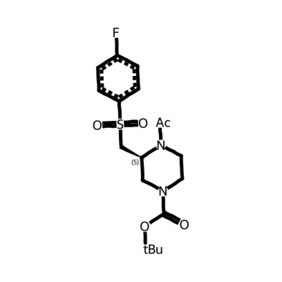 CC(=O)N1CCN(C(=O)OC(C)(C)C)C[C@H]1CS(=O)(=O)c1ccc(F)cc1